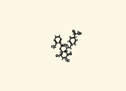 Cc1ccccc1N(C)Cc1c(Cl)cc(Cl)c(=O)n1CCc1ccc(C(=O)O)cc1